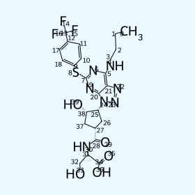 CCCCNc1nc(Sc2ccc(C(F)(F)F)cc2)nc2c1nnn2[C@@H]1C[C@H](C(=O)NC(CO)C(=O)O)C[C@@H]1O